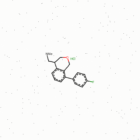 CNCC1COCc2c(-c3ccc(F)cc3)cccc21.Cl